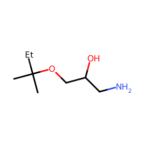 CCC(C)(C)OCC(O)CN